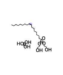 CCCCCCCC/C=C\CCCCCCCC(=O)N(OCCO)OCCO.OB(O)O